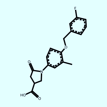 Cc1cc(N2CC(C(=O)O)CC2=O)ccc1OCc1cccc(F)c1